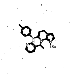 Cc1ccc(NC2=CCc3ccn(C(C)(C)C)c3N2C(C)c2cccnc2)cc1